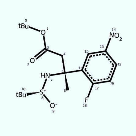 CC(C)(C)OC(=O)C[C@@](C)(N[S@@+]([O-])C(C)(C)C)c1cc([N+](=O)[O-])ccc1F